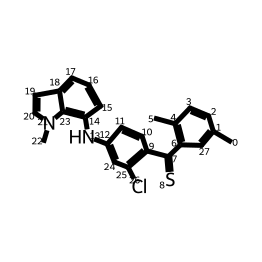 Cc1ccc(C)c(C(=S)c2ccc(Nc3cccc4ccn(C)c34)cc2Cl)c1